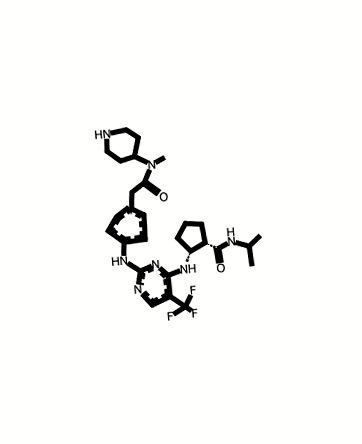 CC(C)NC(=O)[C@H]1CCC[C@H]1Nc1nc(Nc2ccc(CC(=O)N(C)C3CCNCC3)cc2)ncc1C(F)(F)F